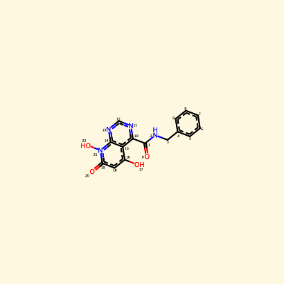 O=C(NCc1ccccc1)c1ncnc2c1c(O)cc(=O)n2O